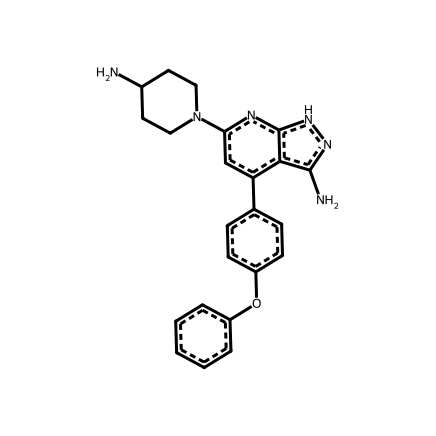 Nc1n[nH]c2nc(N3CCC(N)CC3)cc(-c3ccc(Oc4ccccc4)cc3)c12